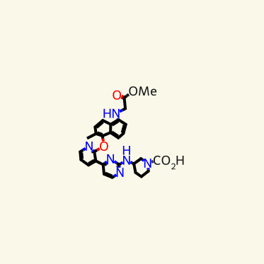 COC(=O)CNc1cccc2c(Oc3ncccc3-c3ccnc(NC4CCCN(C(=O)O)C4)n3)c(C)ccc12